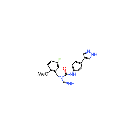 COc1ccc(F)cc1CN(C=N)C(=O)Nc1ccc(-c2cn[nH]c2)cc1